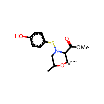 COC(=O)C1[C@H](C)OC(C)CN1Sc1ccc(O)cc1